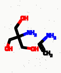 C=CN.NC(CO)(CO)CO